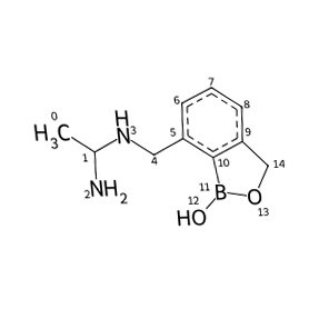 CC(N)NCc1cccc2c1B(O)OC2